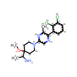 COC1(C(C)N)CCN(c2cnc(-c3cccc(Cl)c3Cl)c(C)n2)CC1